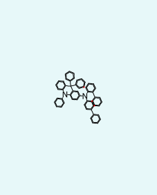 c1ccc(-c2ccc(N(c3ccc4c(c3)C(c3ccccc3)(c3ccccc3)c3ccccc3N4c3ccccc3)c3ccccc3-c3ccccc3)cc2)cc1